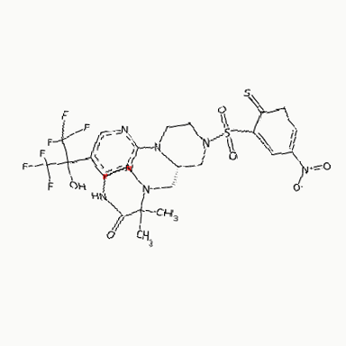 CC1(C)C(=O)NCCN1C[C@H]1CN(S(=O)(=O)C2=CC([N+](=O)[O-])=CCC2=S)CCN1c1ncc(C(O)(C(F)(F)F)C(F)(F)F)cn1